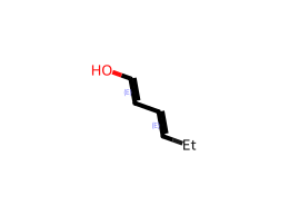 CC/C=C/C=C/O